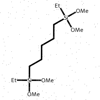 CC[Si](CCCCC[Si](CC)(OC)OC)(OC)OC